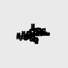 COc1c(Cl)cccc1Nc1c(-c2ccncc2OC[C@H]2COC(C)(C)CO2)[nH]c2c1C(=O)NC[C@H]2C